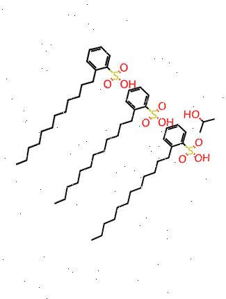 CC(C)O.CCCCCCCCCCCCc1ccccc1S(=O)(=O)O.CCCCCCCCCCCCc1ccccc1S(=O)(=O)O.CCCCCCCCCCCCc1ccccc1S(=O)(=O)O